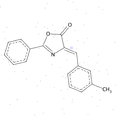 Cc1cccc(/C=C2\N=C(c3ccccc3)OC2=O)c1